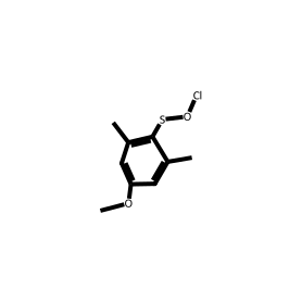 COc1cc(C)c(SOCl)c(C)c1